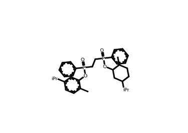 Cc1ccc(C(C)C)cc1OP(=O)(CCP(=O)(OC1CC(C(C)C)CCC1C)c1ccccc1)c1ccccc1